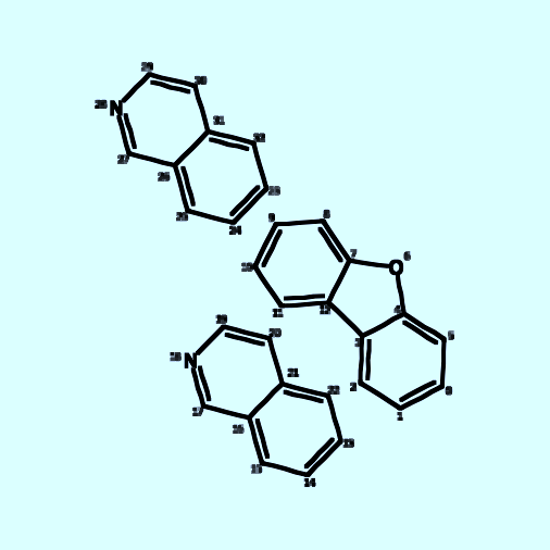 c1ccc2c(c1)oc1ccccc12.c1ccc2cnccc2c1.c1ccc2cnccc2c1